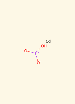 [Cd].[O-][I+2]([O-])O